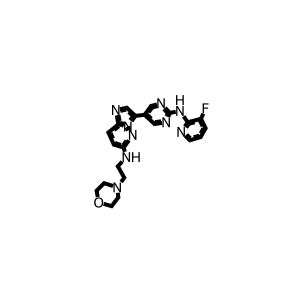 Fc1cccnc1Nc1ncc(-c2cnc3ccc(NCCN4CCOCC4)nn23)cn1